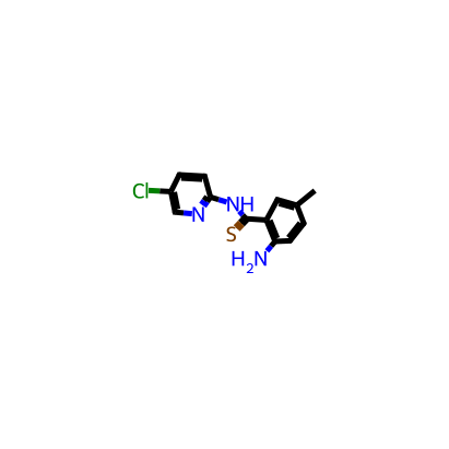 Cc1ccc(N)c(C(=S)Nc2ccc(Cl)cn2)c1